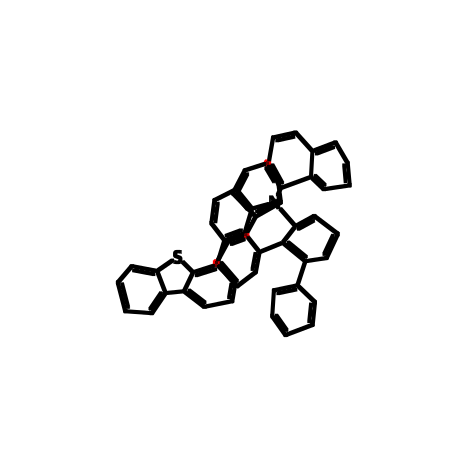 c1ccc(-c2ccccc2-c2c(-c3ccccc3)cccc2N(c2cccc(-c3cccc4c3sc3ccccc34)c2)c2cccc3ccccc23)cc1